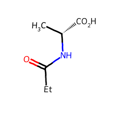 CCC(=O)N[C@H](C)C(=O)O